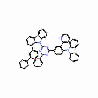 c1ccc(-c2cccc(-c3cccc4c5ccccc5n(-c5nc(-c6ccccc6)nc(-c6ccc(-n7c8ccccc8c8ccccc87)c(-c7ccccn7)c6)n5)c34)c2)cc1